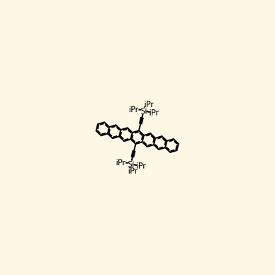 CC(C)[Si](C#Cc1c2cc3cc4ccccc4cc3cc2c(C#C[Si](C(C)C)(C(C)C)C(C)C)c2cc3cc4ccccc4cc3cc12)(C(C)C)C(C)C